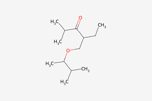 CCC(COC(C)C(C)C)C(=O)C(C)C